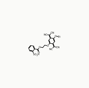 CCOc1cc(=C(C#N)C#N)c(OCCOC(=O)c2ccccc2S(=O)(=O)O)cc1=C(C#N)C#N